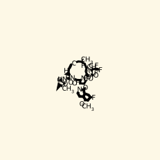 COc1cc(F)cc2c(O[C@@H]3C[C@H]4C(=O)N[C@]5(C(=O)NS(=O)(=O)C6(C)CC6)C[C@H]5C=CCC[C@@H](C)C[C@@H](C)[C@H](N(C(=O)O)[C@H](C)C(F)(F)F)C(=O)N4C3)nccc12